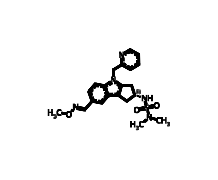 CON=Cc1ccc2c(c1)c1c(n2Cc2ccccn2)C[C@H](NS(=O)(=O)N(C)C)C1